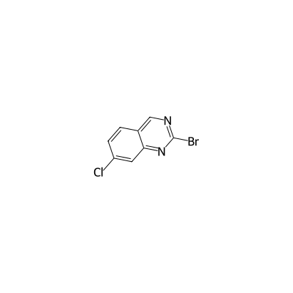 Clc1ccc2cnc(Br)nc2c1